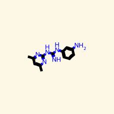 Cc1cc(C)nc(NC(=N)Nc2cccc(N)c2)n1